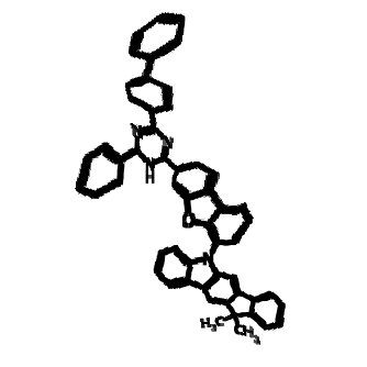 CC1(C)c2ccccc2-c2cc3c(cc21)c1ccccc1n3-c1cccc2c1oc1cc(C3=NC(c4ccc(-c5ccccc5)cc4)=NC(c4ccccc4)N3)ccc12